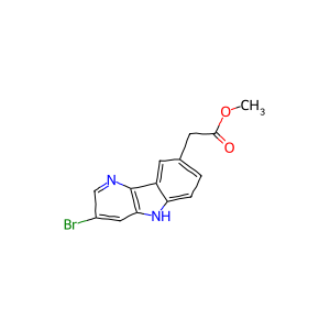 COC(=O)Cc1ccc2[nH]c3cc(Br)cnc3c2c1